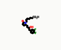 O=C(O)CCC/C=C\CN1C(=O)CC[C@@H]1/C=C/[C@@H](O)Cc1ccc(F)c(F)c1